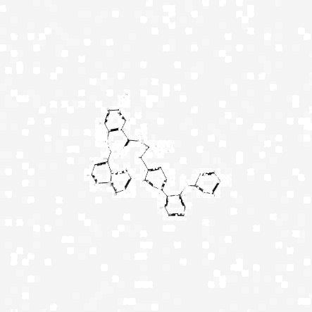 O=C(N[C@@H](Cc1ccc(-c2ccccc2Oc2ccccc2)cc1)C(=O)O)c1cc(Cl)ccc1NCc1cccc2ccccc12